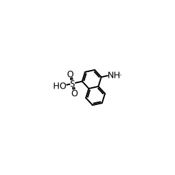 [NH]c1ccc(S(=O)(=O)O)c2ccccc12